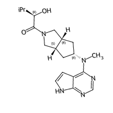 CC(C)[C@@H](O)C(=O)N1C[C@H]2C[C@@H](N(C)c3ncnc4[nH]ccc34)C[C@H]2C1